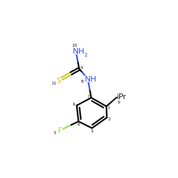 CC(C)c1ccc(F)cc1NC(N)=S